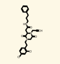 C#CCN1C(=O)CN(CCc2ccc(Cl)cc2Cl)C(=O)C1CC(=O)NCCCc1ccccc1